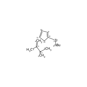 C=C(C)C(=C)C.CCC[CH2][Zr][C]1=CC=CC1